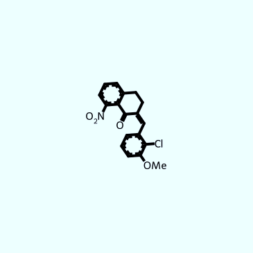 COc1cccc(C=C2CCc3cccc([N+](=O)[O-])c3C2=O)c1Cl